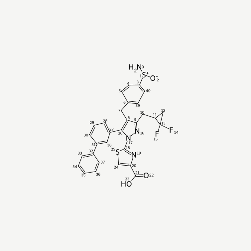 N[S+]([O-])c1ccc(Cc2c(CC3CC3(F)F)nn(-c3nc(C(=O)O)cs3)c2-c2cccc(-c3ccccc3)c2)cc1